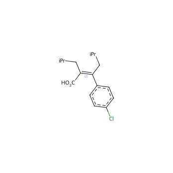 CC(C)C/C(C(=O)O)=C(\CC(C)C)c1ccc(Cl)cc1